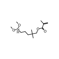 C=C(C)C(=O)OCC(C)(C)CCC[SiH](OC)OC